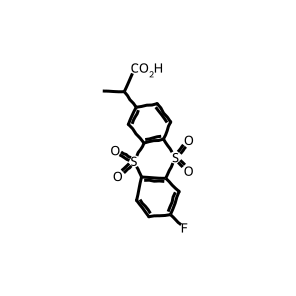 CC(C(=O)O)c1ccc2c(c1)S(=O)(=O)c1ccc(F)cc1S2(=O)=O